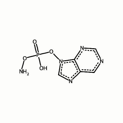 NOP(=O)(O)On1cnc2cncnc21